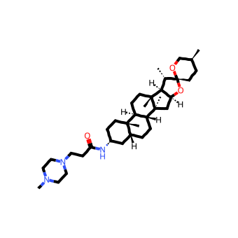 C[C@H]1CC[C@@]2(OC1)O[C@H]1C[C@@]3(C)[C@@H]4CC[C@@H]5C[C@H](NC(=O)CCN6CCN(C)CC6)CC[C@]5(C)[C@H]4CC[C@]3(C)[C@H]1[C@@H]2C